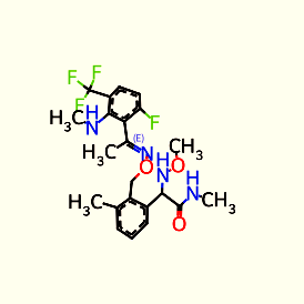 CNC(=O)C(NOC)c1cccc(C)c1CO/N=C(\C)c1c(F)ccc(C(F)(F)F)c1NC